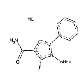 CCCCCCn1c(-c2ccccc2)cc(C(N)=O)c1C.Cl